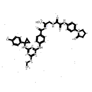 O=C(NC/C(=N/C(=O)c1ccc(Nc2nc(NC3(c4ccc(Cl)cc4)CC3)nc(OCC(F)(F)F)n2)cc1)C(=O)O)C(=O)Nc1ccc(N2CCCC2=O)cc1